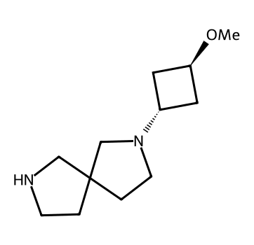 CO[C@H]1C[C@H](N2CCC3(CCNC3)C2)C1